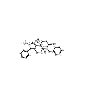 Cn1nc2c(c1-c1ccccc1)CC[C@H]1[C@H](Cc3ccccc3)C(=O)CC[C@]21C